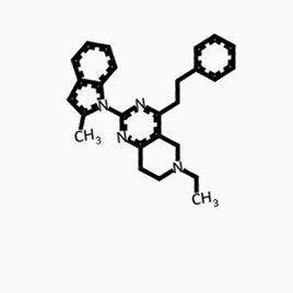 CCN1CCc2nc(-n3c(C)cc4ccccc43)nc(CCc3ccccc3)c2C1